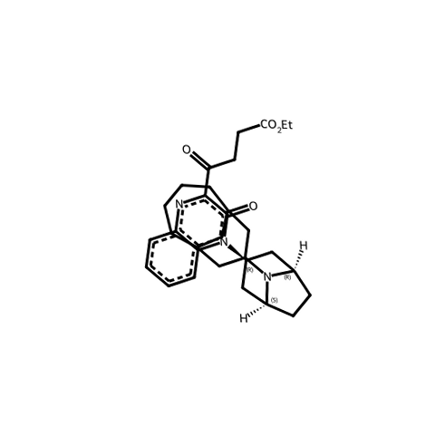 CCOC(=O)CCC(=O)c1nc2ccccc2n([C@H]2C[C@H]3CC[C@@H](C2)N3C2CC3CCCCC(C3)C2)c1=O